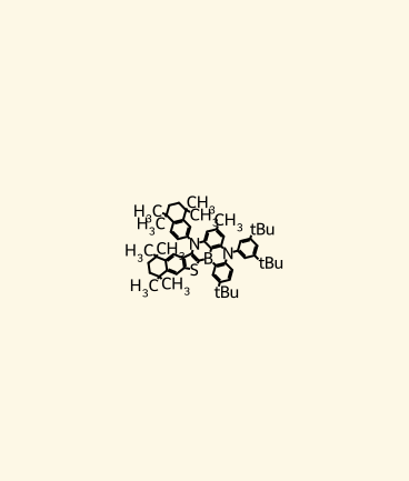 Cc1cc2c3c(c1)N(c1ccc4c(c1)C(C)(C)CCC4(C)C)c1c(sc4cc5c(cc14)C(C)(C)CCC5(C)C)B3c1cc(C(C)(C)C)ccc1N2c1cc(C(C)(C)C)cc(C(C)(C)C)c1